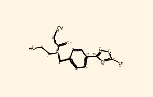 N#CCC(=O)N(CCO)Cc1ccc(-c2noc(C(F)(F)F)n2)cc1